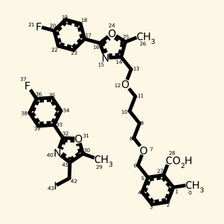 Cc1cccc(COCCCCOCc2nc(-c3ccc(F)cc3)oc2C)c1C(=O)O.Cc1oc(-c2ccc(F)cc2)nc1CI